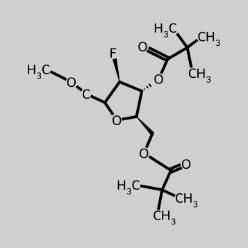 COCC1O[C@H](COC(=O)C(C)(C)C)[C@@H](OC(=O)C(C)(C)C)[C@@H]1F